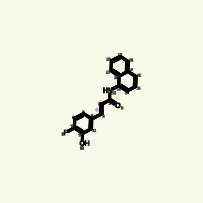 O=C(/C=C/c1ccc(F)c(O)c1)Nc1cccc2ccccc12